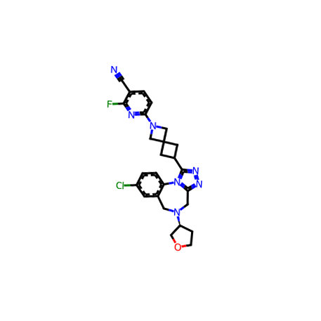 N#Cc1ccc(N2CC3(CC(c4nnc5n4-c4ccc(Cl)cc4CN([C@H]4CCOC4)C5)C3)C2)nc1F